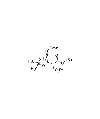 CCOC(=O)C(C(=O)OC(C)(C)C)C(=C=NOC)O[Si](C)(C)C